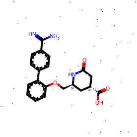 N=C(N)c1ccc(-c2ccccc2OC[C@@H]2C[C@@H](C(=O)O)CC(=O)N2)cc1